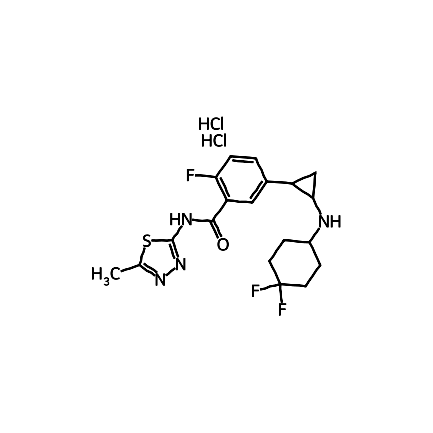 Cc1nnc(NC(=O)c2cc(C3CC3NC3CCC(F)(F)CC3)ccc2F)s1.Cl.Cl